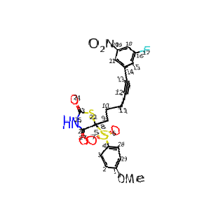 COc1ccc(S(=O)(=O)C2(CCCC#Cc3cc(F)cc([N+](=O)[O-])c3)SC(=O)NC2=O)cc1